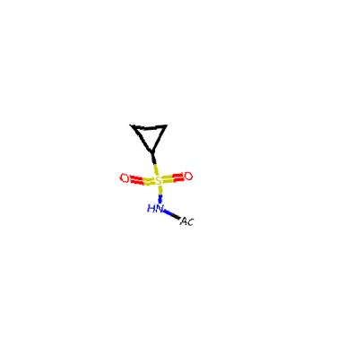 CC(=O)NS(=O)(=O)C1CC1